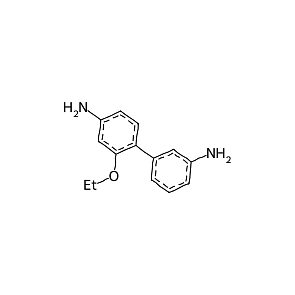 CCOc1cc(N)ccc1-c1cccc(N)c1